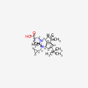 C=C(/N=C\C(=C/C)C(=O)O)N(CC1CC1)c1cc(C(C)(C)C)cc2c1CCC2(C)C